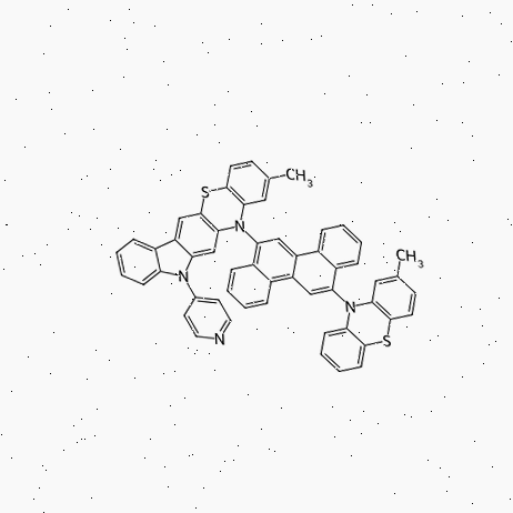 Cc1ccc2c(c1)N(c1cc3c4ccccc4c(N4c5cc(C)ccc5Sc5cc6c7ccccc7n(-c7ccncc7)c6cc54)cc3c3ccccc13)c1ccccc1S2